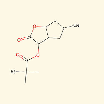 CCC(C)(C)C(=O)OC1C(=O)OC2CC(C#N)CC21